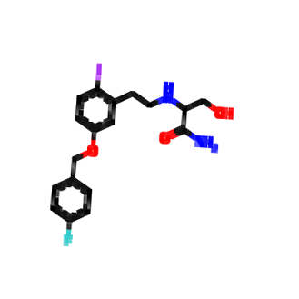 NC(=O)C(CO)NCCc1cc(OCc2ccc(F)cc2)ccc1I